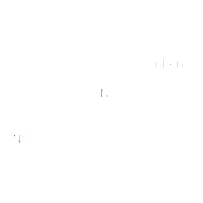 CCCCCC1CCC(N2CCC(c3ccc(C#N)cc3)CC2)CC1